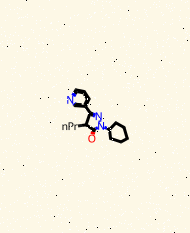 CCCC1C(=O)N(C2CCCCC2)N=C1c1cccnc1